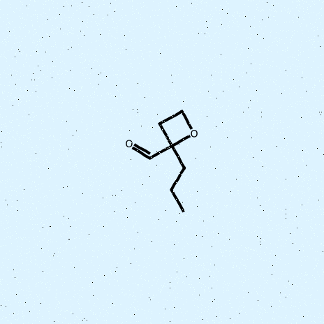 CCCC1(C=O)CCO1